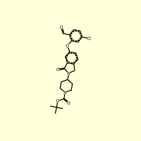 CC(C)(C)OC(=O)N1CCC(N2Cc3ccc(Oc4cc(Cl)ccc4C=O)cc3C2=O)CC1